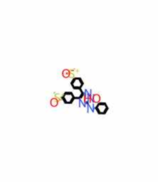 CN(c1nnc(-c2ccc([S+](C)[O-])cc2)c(-c2ccc([S+](C)[O-])cc2)n1)c1ccccc1O